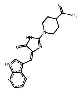 NC(=O)C1CCN(C2=N/C(=C/c3c[nH]c4ncccc34)C(=O)N2)CC1